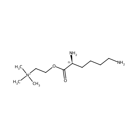 C[N+](C)(C)CCOC(=O)[C@@H](N)CCCCN